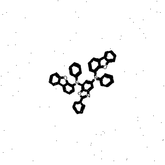 c1ccc(-c2nc3cc(N(c4ccccc4)c4cccc5c4oc4ccccc45)cc(N(c4ccccc4)c4cccc5c4oc4ccccc45)c3o2)cc1